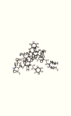 C/C=C(/CC)CN(CCO)CC(=O)N[C@@H](CCc1ccccc1)C(=O)N[C@@H](CC(C)C)C(=O)N[C@@H](Cc1ccccc1)C(=O)N[C@@H](CC(C)C)C(=O)C(C)(CC)OC(=O)CC/C(=C/N)N=N